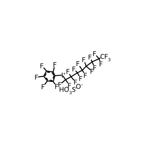 Fc1c(F)c(F)c([I+]C(F)(F)C(F)(F)C(F)(F)C(F)(F)C(F)(F)C(F)(F)C(F)(F)C(F)(F)F)c(F)c1F.O=S(=O)([O-])O